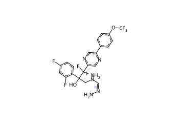 N/N=C\N(N)CC(O)(c1ccc(F)cc1F)C(F)(F)c1cnc(-c2ccc(OC(F)(F)F)cc2)cn1